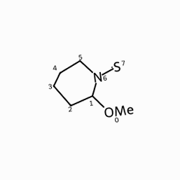 COC1CCCCN1[S]